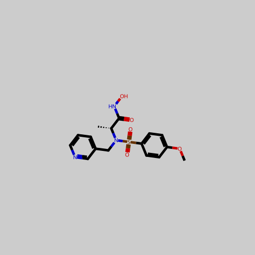 COc1ccc(S(=O)(=O)N(Cc2cccnc2)[C@H](C)C(=O)NO)cc1